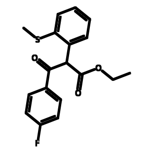 CCOC(=O)C(C(=O)c1ccc(F)cc1)c1ccccc1SC